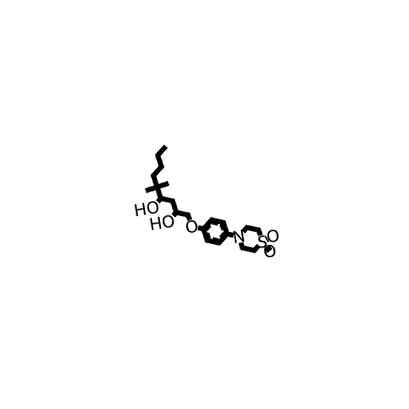 CCCCC(C)(C)C(O)CC(O)COc1ccc(N2CCS(=O)(=O)CC2)cc1